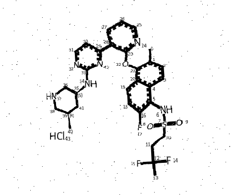 Cc1ccc2c(NS(=O)(=O)CCC(C)(F)F)c(F)ccc2c1Oc1ncccc1-c1ccnc(N[C@@H]2CNC[C@H](C)C2)n1.Cl